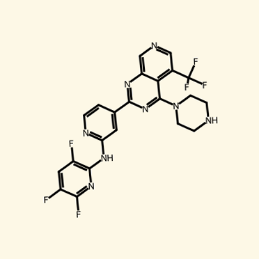 Fc1cc(F)c(Nc2cc(-c3nc(N4CCNCC4)c4c(C(F)(F)F)cncc4n3)ccn2)nc1F